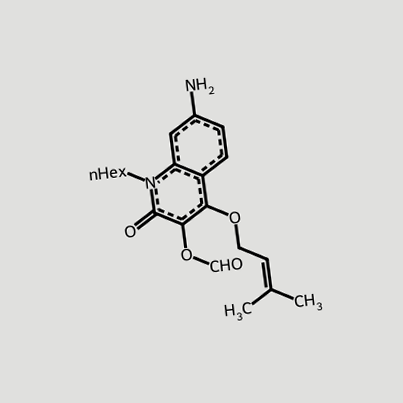 CCCCCCn1c(=O)c(OC=O)c(OCC=C(C)C)c2ccc(N)cc21